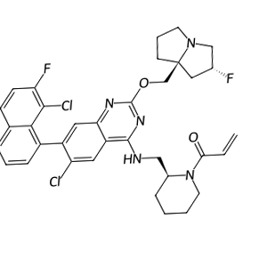 C=CC(=O)N1CCCC[C@H]1CNc1nc(OC[C@@]23CCCN2C[C@H](F)C3)nc2cc(-c3cccc4ccc(F)c(Cl)c34)c(Cl)cc12